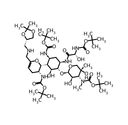 CN(C(=O)OC(C)(C)C)[C@@H]1[C@@H](O)[C@@H](O[C@H]2[C@H](NC(=O)[C@@H](O)NC(=O)OC(C)(C)C)C[C@H](NC(=O)OC(C)(C)C)C([C@H]3OC(CNC[C@H]4COC(C)(C)O4)=CC[C@H]3NC(=O)OC(C)(C)C)[C@@H]2O)OC[C@]1(C)O